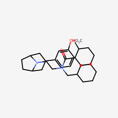 O=C(O)C1CCCCC1C(=O)N(CCN1C2CCC1CC(c1cccc(O)c1)C2)CC1CCCCC1